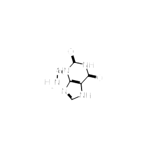 CC(N)=O.O=c1[nH]c(=O)c2[nH]cnc2[nH]1